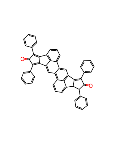 O=C1C(c2ccccc2)=C2C(=C1c1ccccc1)c1cc3c4cccc5c4c(cc3c3cccc2c13)C1=C(c2ccccc2)C(=O)C(c2ccccc2)C15